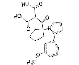 COc1cccc(-c2cccn2C2(C(=O)C(C(=O)O)C(=O)O)CCCC2)c1